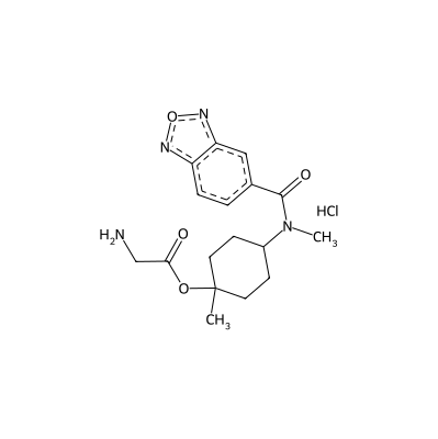 CN(C(=O)c1ccc2nonc2c1)C1CCC(C)(OC(=O)CN)CC1.Cl